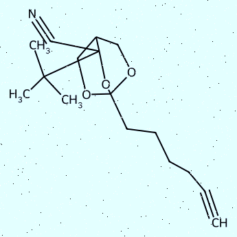 C#CCCCCC12OCC(CO1)C(C#N)(C(C)(C)C)O2